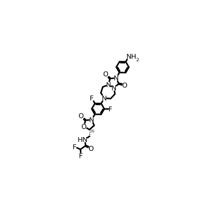 Nc1ccc(-n2c(=O)n3n(c2=O)CCN(c2c(F)cc(N4C[C@H](CNC(=O)C(F)F)OC4=O)cc2F)CC3)cc1